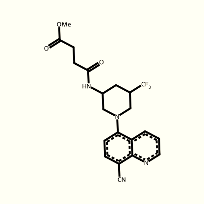 COC(=O)CCC(=O)NC1CC(C(F)(F)F)CN(c2ccc(C#N)c3ncccc23)C1